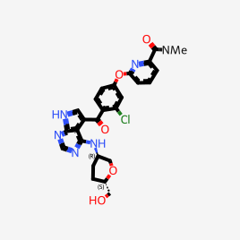 CNC(=O)c1cccc(Oc2ccc(C(=O)c3c[nH]c4ncnc(N[C@@H]5CC[C@@H](CO)OC5)c34)c(Cl)c2)n1